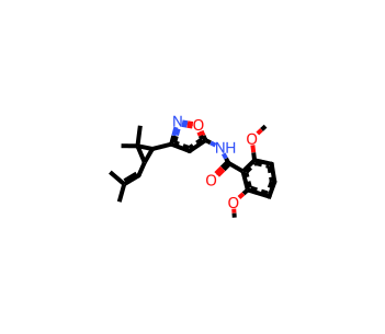 COc1cccc(OC)c1C(=O)Nc1cc(C2C(C=C(C)C)C2(C)C)no1